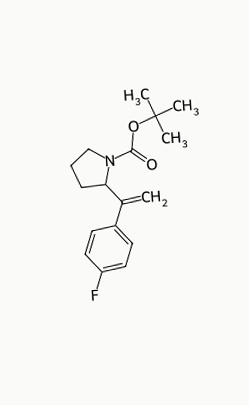 C=C(c1ccc(F)cc1)C1CCCN1C(=O)OC(C)(C)C